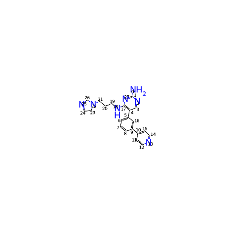 Nc1ncc(-c2cccc(-c3ccncc3)c2)c(NCCCN2CC=NC2)n1